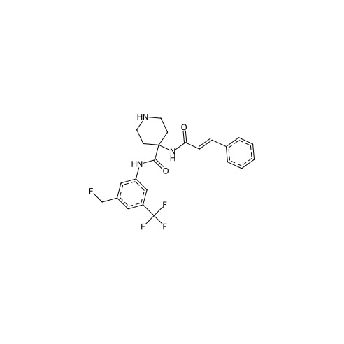 O=C(/C=C/c1ccccc1)NC1(C(=O)Nc2cc(CF)cc(C(F)(F)F)c2)CCNCC1